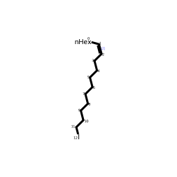 CCCCCC/C=C\CCCCCCCCCI